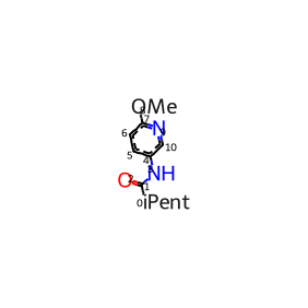 CCCC(C)C(=O)Nc1ccc(OC)nc1